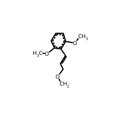 [CH2]OCC=Cc1c(OC)cccc1OC